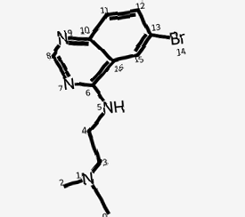 CN(C)CCNc1ncnc2ccc(Br)cc12